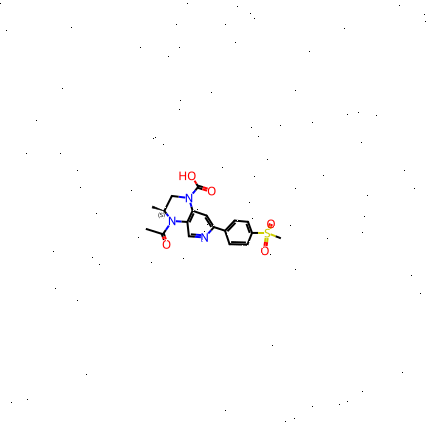 CC(=O)N1c2cnc(-c3ccc(S(C)(=O)=O)cc3)cc2N(C(=O)O)C[C@@H]1C